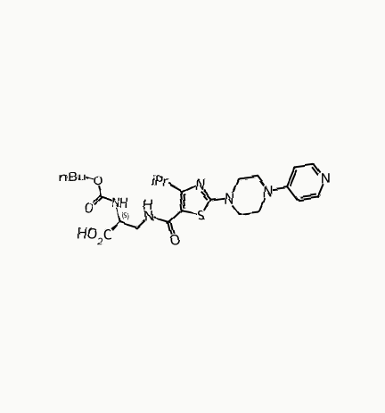 CCCCOC(=O)N[C@@H](CNC(=O)c1sc(N2CCN(c3ccncc3)CC2)nc1C(C)C)C(=O)O